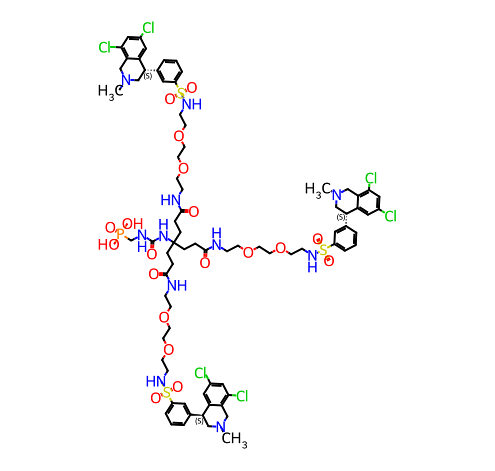 CN1Cc2c(Cl)cc(Cl)cc2[C@H](c2cccc(S(=O)(=O)NCCOCCOCCNC(=O)CCC(CCC(=O)NCCOCCOCCNS(=O)(=O)c3cccc([C@@H]4CN(C)Cc5c(Cl)cc(Cl)cc54)c3)(CCC(=O)NCCOCCOCCNS(=O)(=O)c3cccc([C@@H]4CN(C)Cc5c(Cl)cc(Cl)cc54)c3)NC(=O)NCP(=O)(O)O)c2)C1